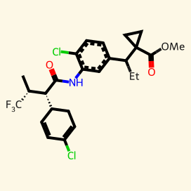 CCC(c1ccc(Cl)c(NC(=O)[C@H](C2C=CC(Cl)=CC2)[C@@H](C)C(F)(F)F)c1)C1(C(=O)OC)CC1